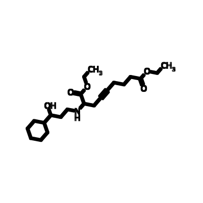 CCOC(=O)CCCC#CCC(NCCC(O)C1CCCCC1)C(=O)OCC